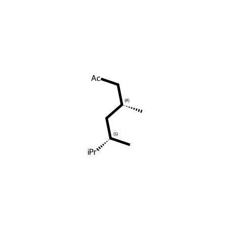 CC(=O)C[C@H](C)C[C@H](C)C(C)C